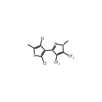 Cc1sc(Cl)c(-c2nn(C)c(C(F)(F)F)c2C(F)(F)F)c1Cl